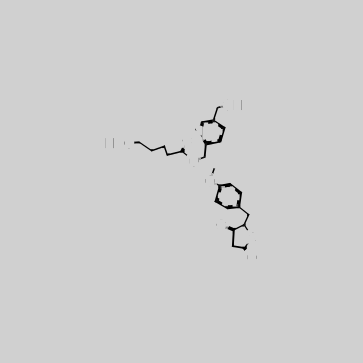 CCCCCC(=O)O[C@@H](COc1ccc(CC2SC(=O)CC2=O)cc1)c1ccc(CC)cn1